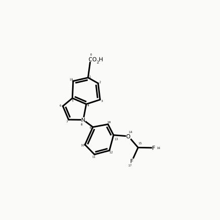 O=C(O)c1ccc2c(ccn2-c2cccc(OC(F)F)c2)c1